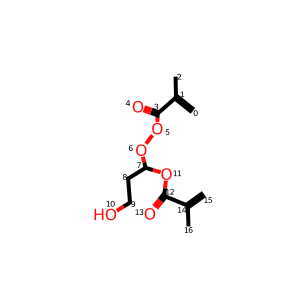 C=C(C)C(=O)OOC(CCO)OC(=O)C(=C)C